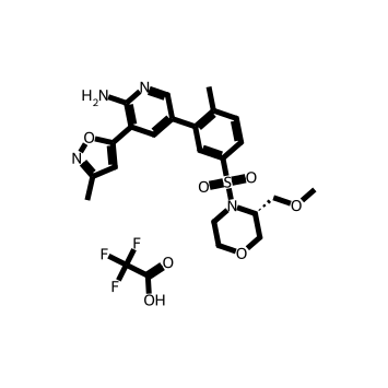 COC[C@@H]1COCCN1S(=O)(=O)c1ccc(C)c(-c2cnc(N)c(-c3cc(C)no3)c2)c1.O=C(O)C(F)(F)F